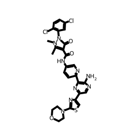 Cc1c(C(=O)Nc2ccc(-c3nc(-c4csc(N5CCOCC5)n4)cnc3N)nc2)c(=O)n(-c2cc(Cl)ccc2Cl)n1C